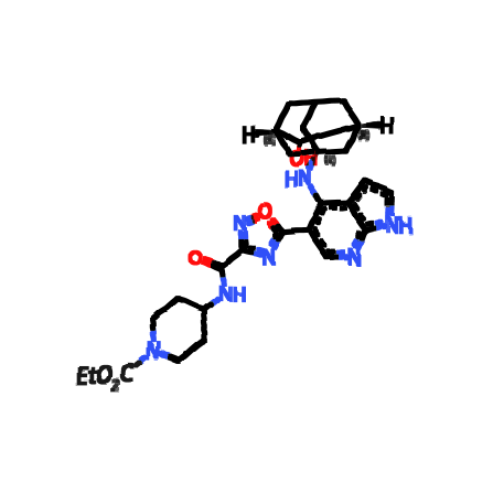 CCOC(=O)N1CCC(NC(=O)c2noc(-c3cnc4[nH]ccc4c3N[C@@]34CC5C[C@H](C3)C(O)[C@@H](C5)C4)n2)CC1